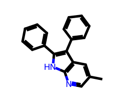 Cc1cnc2[nH]c(-c3ccccc3)c(-c3ccccc3)c2c1